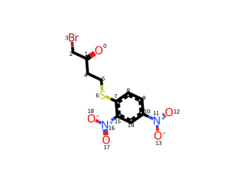 O=C(CBr)CCSc1ccc([N+](=O)[O-])cc1[N+](=O)[O-]